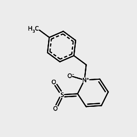 Cc1ccc(C[N+]2([O-])C=CC=CC2=S(=O)=O)cc1